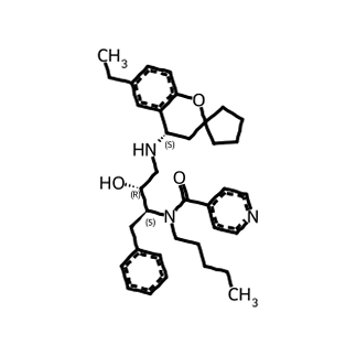 CCCCCN(C(=O)c1ccncc1)[C@@H](Cc1ccccc1)[C@H](O)CN[C@H]1CC2(CCCC2)Oc2ccc(CC)cc21